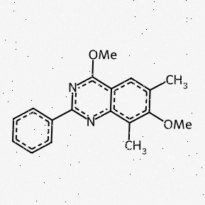 COc1c(C)cc2c(OC)nc(-c3ccccc3)nc2c1C